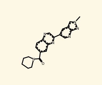 Cn1cc2cc(-c3cnc4ccc(C(=O)N5CCCCC5)cc4n3)cnc2n1